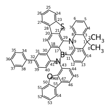 CC1(C)c2ccccc2N2c3c(cccc31)B1c3c(cc4c(sc5ccccc54)c32)-c2cc(-c3ccccc3)ccc2N1c1cccc2c1oc1ccccc12